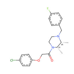 C[C@@H]1[C@H](C)N(C(=O)COc2ccc(Cl)cc2)CCN1Cc1ccc(F)cc1